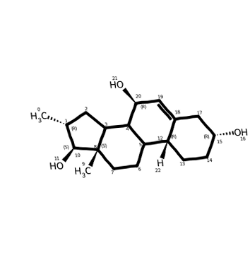 C[C@@H]1CC2C3C(CC[C@]2(C)[C@H]1O)[C@H]1CC[C@@H](O)CC1=C[C@@H]3O